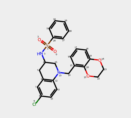 O=S(=O)(NC1Cc2cc(Cl)ccc2N(Cc2cccc3c2OCCO3)C1)c1ccccc1